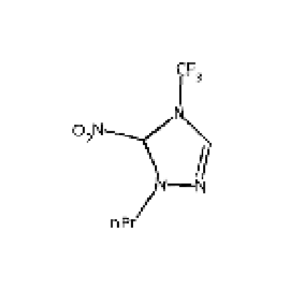 CCCN1N=CN(C(F)(F)F)C1[N+](=O)[O-]